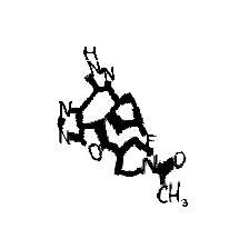 CC(=O)N1CC=C(c2cc3c(-c4c[nH]nc4-c4ccc(F)cc4)ncnc3o2)CC1